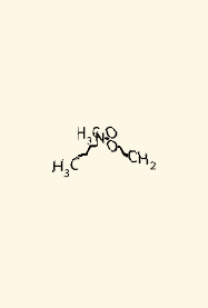 C=CCOC(=O)N(C)CCCCC